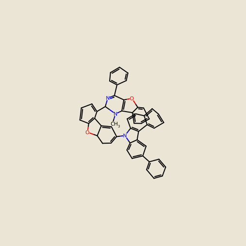 CN1c2c(oc3ccccc23)C(c2ccccc2)=NC1c1cccc2c1C1=CC(n3c4ccc(-c5ccccc5)cc4c4c5ccccc5ccc43)=CCC1O2